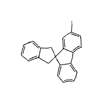 Ic1ccc2c(c1)C1(Cc3ccccc3C1)c1ccccc1-2